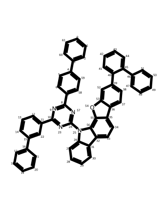 c1ccc(-c2ccc(-c3nc(-c4cccc(-c5ccccc5)c4)nc(-n4c5ccccc5c5ccc6c7ccc(-c8ccccc8-c8ccccc8)cc7oc6c54)n3)cc2)cc1